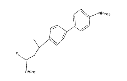 CCCCC[CH]C(F)CC(C)c1ccc(-c2ccc(CCCCC)cc2)cc1